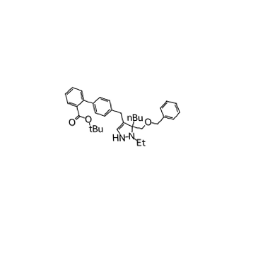 CCCCC1(COCc2ccccc2)C(Cc2ccc(-c3ccccc3C(=O)OC(C)(C)C)cc2)=CNN1CC